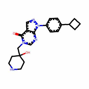 O=c1c2cnn(-c3ccc(C4CCC4)cc3)c2ncn1CC1(O)CCNCC1